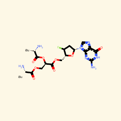 CC[C@H](C)[C@H](N)C(=O)OC[C@@H](OC(=O)[C@@H](N)[C@@H](C)CC)C(=O)OC[C@H]1O[C@@H](n2cnc3c(=O)[nH]c(N)nc32)CC1F